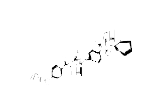 CC(C)Oc1ccc(C(=O)NC(=S)Nc2ccc(S(=O)(=O)N(C)c3ccccc3)cc2)cc1